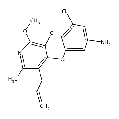 C=CCc1c(C)nc(OC)c(Cl)c1Oc1cc(N)cc(Cl)c1